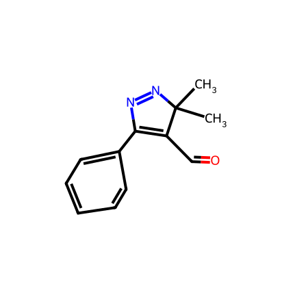 CC1(C)N=NC(c2ccccc2)=C1C=O